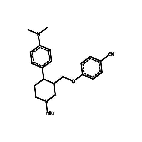 CCCCN1CCC(c2ccc(N(C)C)cc2)C(COc2ccc(C#N)cc2)C1